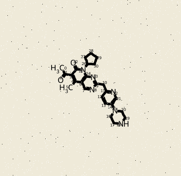 CC(=O)c1c(C)c2cnc(Cc3ccc(N4CCNCC4)cn3)nc2n(C2CCCC2)c1=O